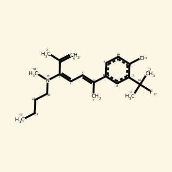 C=C(C)/C(=C\C=C(/C)c1ccc(Cl)c(C(C)(C)F)c1)N(C)CCCC